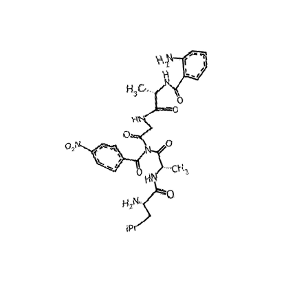 CC(C)C[C@H](N)C(=O)N[C@@H](C)C(=O)N(C(=O)CNC(=O)[C@H](C)NC(=O)c1ccccc1N)C(=O)c1ccc([N+](=O)[O-])cc1